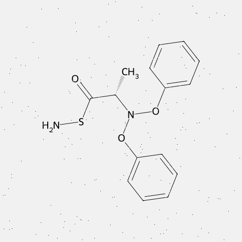 C[C@@H](C(=O)SN)N(Oc1ccccc1)Oc1ccccc1